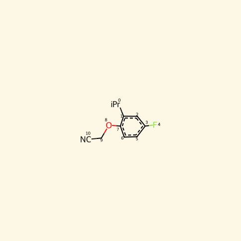 CC(C)c1cc(F)ccc1OCC#N